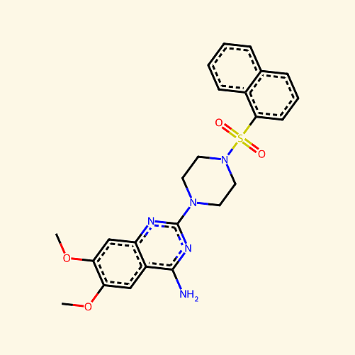 COc1cc2nc(N3CCN(S(=O)(=O)c4cccc5ccccc45)CC3)nc(N)c2cc1OC